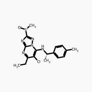 CCc1nc2nc([S+](C)[O-])nn2c(N[C@@H](C)c2ccc(C)cc2)c1Cl